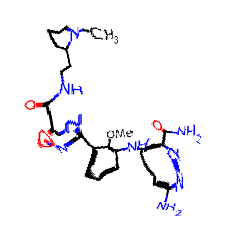 COc1c(Nc2cc(N)nnc2C(N)=O)cccc1-c1noc(C(=O)NCCC2CCCN2C)n1